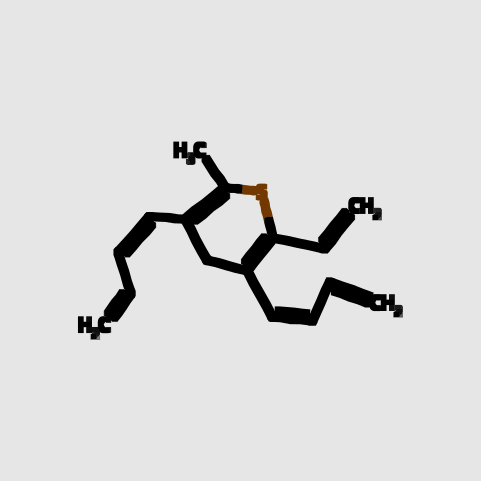 C=C/C=C\C1=C(C)SC(C=C)=C(/C=C\C=C)C1